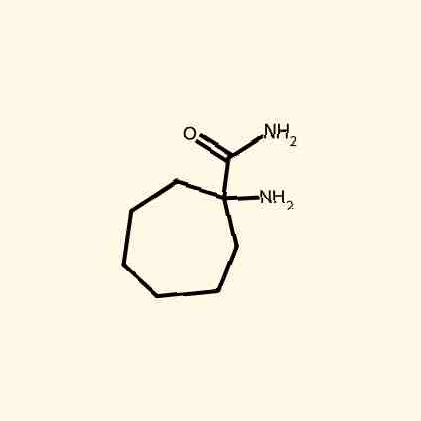 NC(=O)C1(N)CCCCCC1